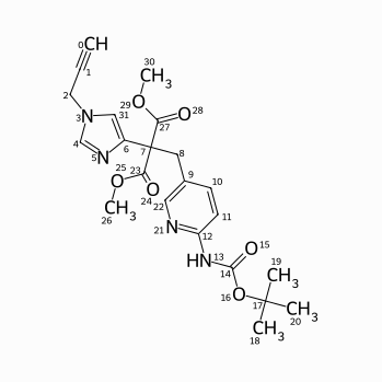 C#CCn1cnc(C(Cc2ccc(NC(=O)OC(C)(C)C)nc2)(C(=O)OC)C(=O)OC)c1